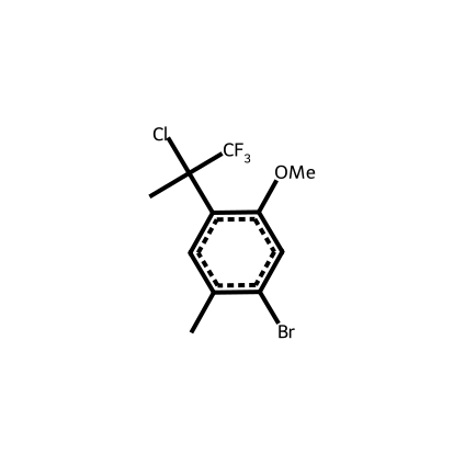 COc1cc(Br)c(C)cc1C(C)(Cl)C(F)(F)F